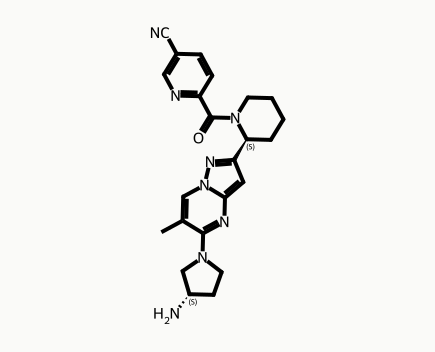 Cc1cn2nc([C@@H]3CCCCN3C(=O)c3ccc(C#N)cn3)cc2nc1N1CC[C@H](N)C1